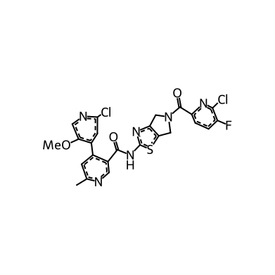 COc1cnc(Cl)cc1-c1cc(C)ncc1C(=O)Nc1nc2c(s1)CN(C(=O)c1ccc(F)c(Cl)n1)C2